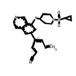 C=C/C=C(\C=C\C#N)c1cc(SC2CCN(S(=O)(=O)C3CC3)CC2)c2cnccc2c1